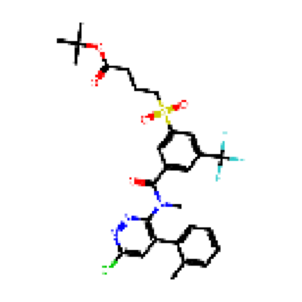 Cc1ccccc1-c1cc(Cl)nnc1N(C)C(=O)c1cc(C(F)(F)F)cc(S(=O)(=O)CCCC(=O)OC(C)(C)C)c1